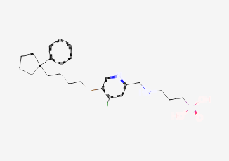 O=P(O)(O)CCCNCc1cc(F)c(SCCCCC2(c3ccccc3)CCCC2)cn1